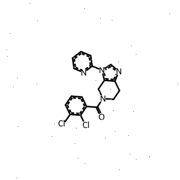 O=C(c1cccc(Cl)c1Cl)N1CCc2ncn(-c3ccccn3)c2C1